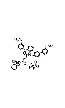 COc1cccc(-c2ccc(CN(C(=O)CCC(=O)NCc3ccccc3C(F)(F)F)c3ccccc3Oc3cccc(CN)c3)cc2)c1.O=C(O)C(F)(F)F